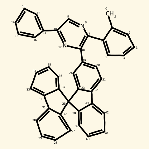 Cc1ccccc1-c1ncc(-c2ccccc2)nc1-c1ccc2c(c1)C1(c3ccccc3-c3ccccc31)c1ccccc1-2